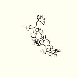 C[C@H](/C=C/[C@H](C)[C@H]1CC[C@H]2C3=CC=C4CC(O[Si](C)(C)C(C)(C)C)CC[C@]4(C)[C@H]3CC[C@]12C)C1CC1